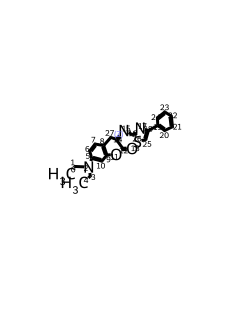 CCN(CC)c1ccc2c(c1)OC(=O)/C(=N\c1nc(-c3ccccc3)cs1)C2